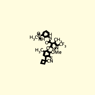 COc1c(F)c(C2(C#N)CCC2)cc(C)c1Oc1nnc(C(F)(F)F)c(C)c1C(=O)Nc1cccc(S(C)(=N)=O)c1